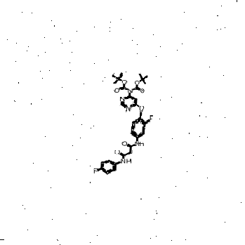 CC(C)(C)OC(=O)N(C(=O)OC(C)(C)C)c1cc(Oc2ccc(NC(=O)CC(=O)Nc3ccc(F)cc3)cc2F)ncn1